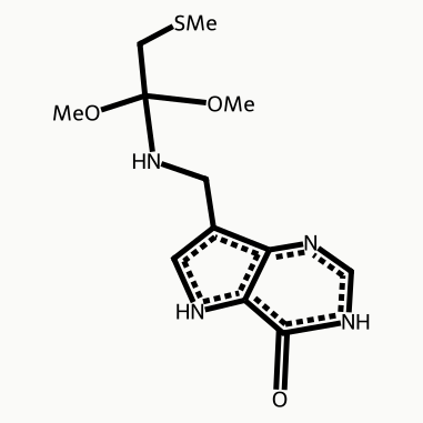 COC(CSC)(NCc1c[nH]c2c(=O)[nH]cnc12)OC